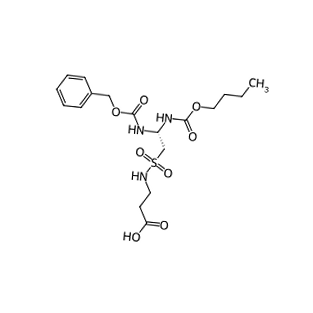 CCCCOC(=O)N[C@H](CS(=O)(=O)NCCC(=O)O)NC(=O)OCc1ccccc1